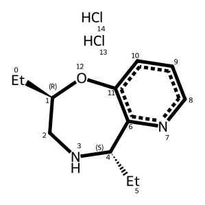 CC[C@@H]1CN[C@@H](CC)c2ncccc2O1.Cl.Cl